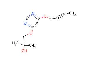 CC#CCOc1cc(OCC(C)(C)O)ncn1